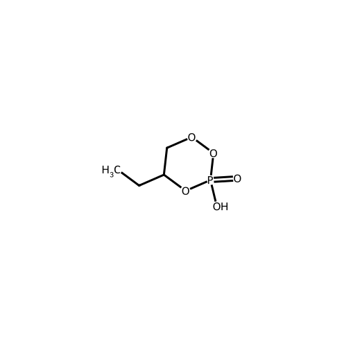 CCC1COOP(=O)(O)O1